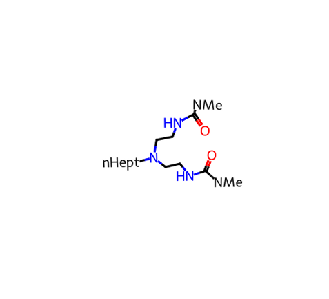 CCCCCCCN(CCNC(=O)NC)CCNC(=O)NC